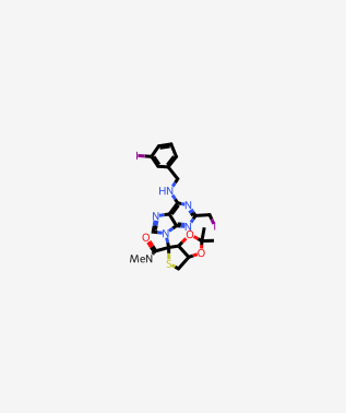 CNC(=O)C1(n2cnc3c(NCc4cccc(I)c4)nc(CI)nc32)SCC2OC(C)(C)OC21